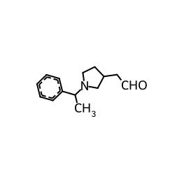 CC(c1ccccc1)N1CCC(CC=O)C1